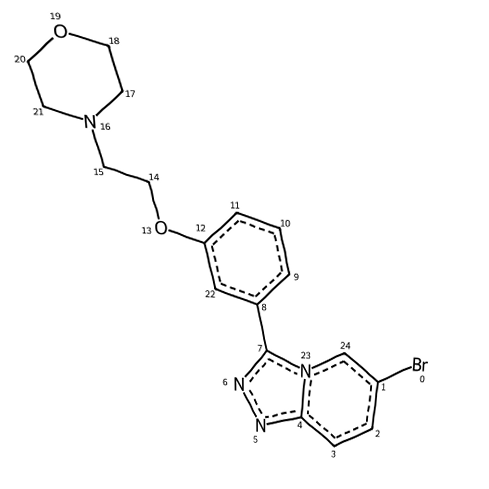 Brc1ccc2nnc(-c3cccc(OCCN4CCOCC4)c3)n2c1